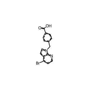 O=C(O)c1ccc(Cn2ccc3c(Br)ccnc32)cc1